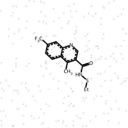 CCSNC(=O)c1cnc2cc(C(F)(F)F)ccc2c1C